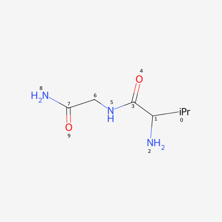 CC(C)C(N)C(=O)NCC(N)=O